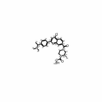 CCCOC(=O)N1CCN(C(=O)c2ccc3c(Cl)cc(-c4ccc(C(C)N(C)C)cc4)nc3c2)C[C@H]1C